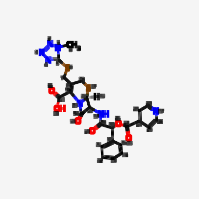 Cn1nnnc1SCC1=C(C(=O)O)N2C(=O)C(NC(=O)C(OC(=O)c3ccncc3)c3ccccc3)[C@@H]2SC1